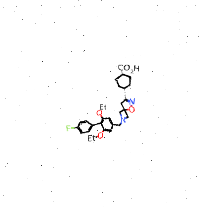 CCOc1cc(CN2CC3(CC([C@H]4CC[C@@H](C(=O)O)CC4)=NO3)C2)cc(OCC)c1-c1ccc(F)cc1